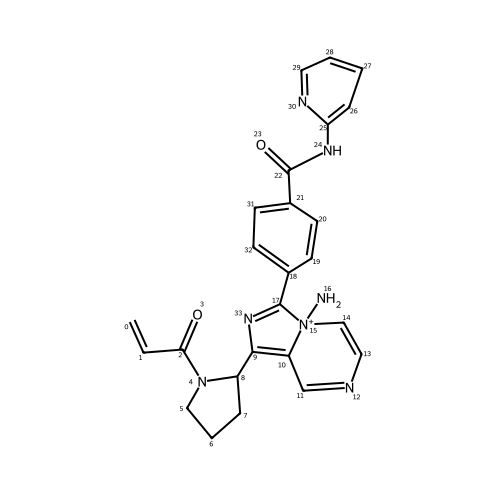 C=CC(=O)N1CCCC1C1=C2C=NC=C[N+]2(N)C(c2ccc(C(=O)Nc3ccccn3)cc2)=N1